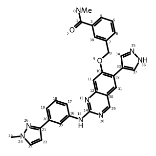 CNC(=O)c1cccc(COc2cc3nc(Nc4cccc(-c5ccn(C)n5)c4)ncc3cc2-c2cn[nH]c2)c1